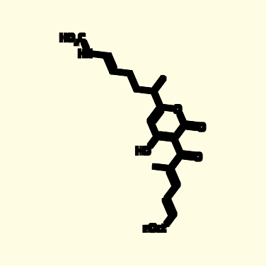 CCCCCCCC/C=C/C=C(\C)C(=O)c1c(O)cc(C(C)CC/C=C/NC(=O)O)oc1=O